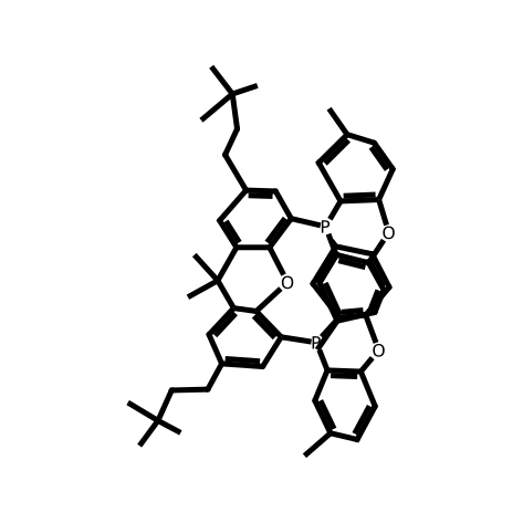 Cc1ccc2c(c1)P(c1cc(CCC(C)(C)C)cc3c1Oc1c(P4c5cc(C)ccc5Oc5ccc(C)cc54)cc(CCC(C)(C)C)cc1C3(C)C)c1cc(C)ccc1O2